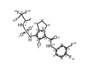 CC(NS(=O)(=O)Nc1c(Cl)c(C(=O)Nc2ccc(F)c(F)c2)n2c1CCC2)C(F)(F)F